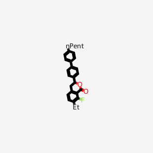 CCCCCc1ccc(-c2ccc(C3Cc4ccc(CC)c(F)c4C(=O)O3)cc2)cc1